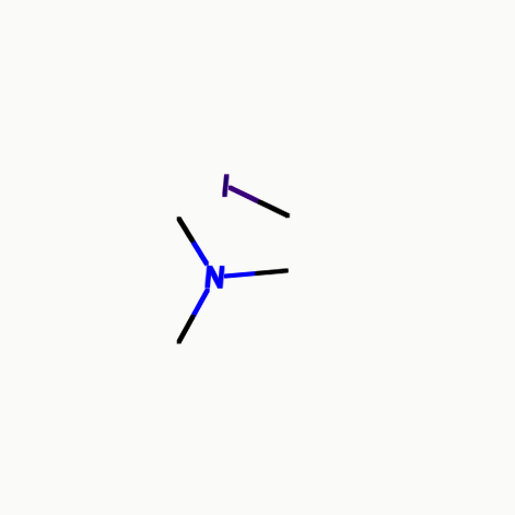 CI.CN(C)C